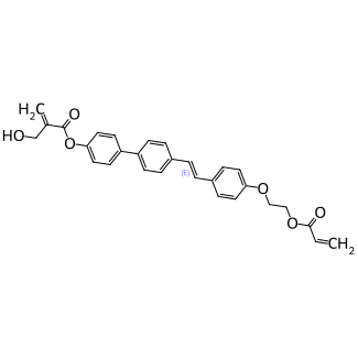 C=CC(=O)OCCOc1ccc(/C=C/c2ccc(-c3ccc(OC(=O)C(=C)CO)cc3)cc2)cc1